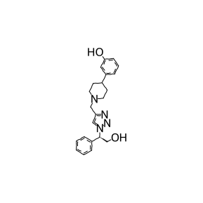 OC[C@@H](c1ccccc1)n1cc(CN2CCC(c3cccc(O)c3)CC2)nn1